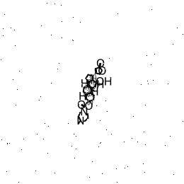 CN1CCCN(C(=O)O[C@H]2CC[C@@]3(C)[C@H](CC[C@@H]4[C@@H]3C[C@@H](O)[C@]3(C)[C@@H](C5=CC(=O)OC5)CC[C@]43O)C2)CC1